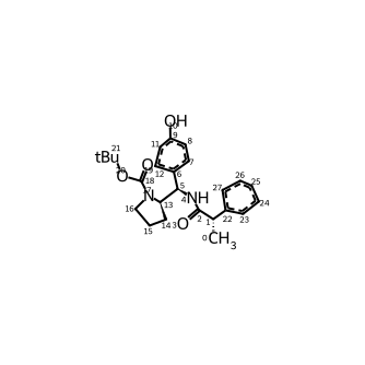 C[C@H](C(=O)N[C@H](c1ccc(O)cc1)[C@H]1CCCN1C(=O)OC(C)(C)C)c1ccccc1